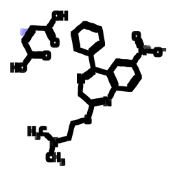 CN(C)CCSC1=Nc2ccc([N+](=O)[O-])cc2C(c2ccccc2)=NC1.O=C(O)/C=C\C(=O)O